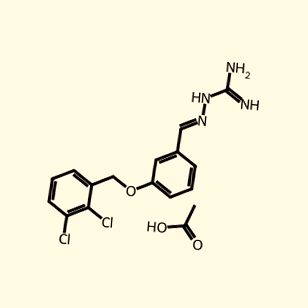 CC(=O)O.N=C(N)NN=Cc1cccc(OCc2cccc(Cl)c2Cl)c1